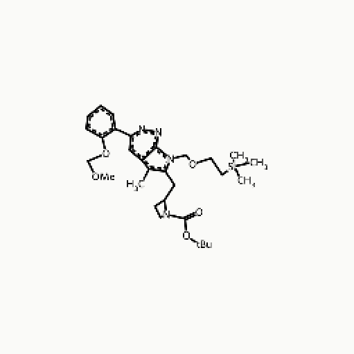 COCOc1ccccc1-c1cc2c(C)c(CC3CCN3C(=O)OC(C)(C)C)n(COCC[Si](C)(C)C)c2nn1